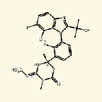 CN1C(=O)C[C@@](C)(c2cccc(-n3c(C(C)(C)O)nc4ccc(F)c(C(F)(F)F)c43)c2F)N/C1=N\C(=O)O